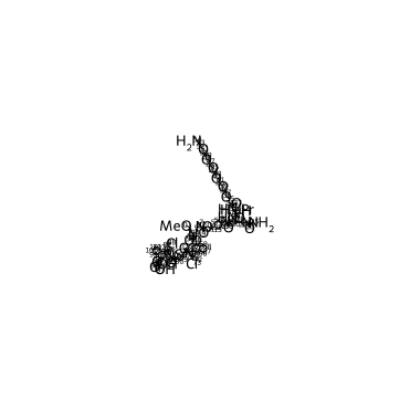 COCCN(CCN(C)C(=O)OCc1ccc(NC(=O)[C@H](CCCNC(N)=O)NC(=O)[C@@H](NC(=O)CCOCCOCCOCCOCCOCCOCCN)C(C)C)cc1)C(=O)Oc1cc2c(c3ccccc13)[C@H](CCl)CN2C(=O)c1ccc(C(=O)N2C[C@@H](CCl)c3c2cc(OP(=O)(O)O)c2ccccc32)s1